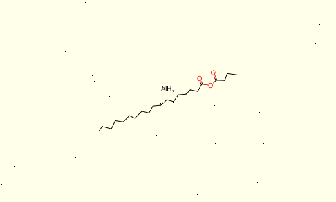 CCCCCCCCCCCCCCCCCC(=O)OC(=O)CCC.[AlH3]